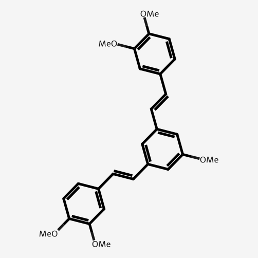 COc1cc(C=Cc2ccc(OC)c(OC)c2)cc(C=Cc2ccc(OC)c(OC)c2)c1